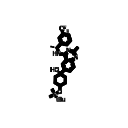 Cc1nc(N[C@H](C)c2cccc(C(F)(F)F)c2)c2cc(C3(O)CCC(O[Si](C)(C)C(C)(C)C)CC3)ccc2n1